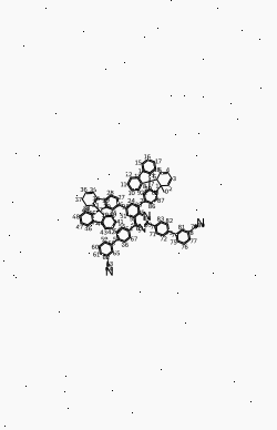 CC12C=CC=CC1C1(c3ccccc3-c3ccccc31)c1cc(-c3cc(-c4ccc5c(c4)C4(C6=C5C=CCC6)c5ccccc5-c5ccccc54)cc4c(-c5ccc(-c6cccc(C#N)c6)cc5)nc(-c5ccc(-c6cccc(C#N)c6)cc5)nc34)ccc12